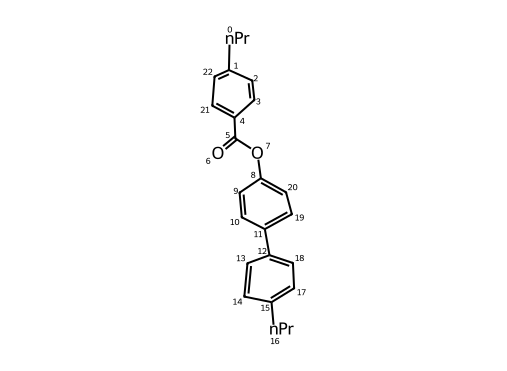 CCCc1ccc(C(=O)Oc2ccc(-c3ccc(CCC)cc3)cc2)cc1